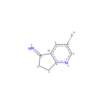 N=C1CCc2ncc(F)cc21